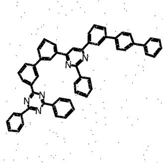 c1ccc(-c2ccc(-c3cccc(-c4cc(-c5cccc(-c6cccc(-c7nc(-c8ccccc8)nc(-c8ccccc8)n7)c6)c5)nc(-c5ccccc5)n4)c3)cc2)cc1